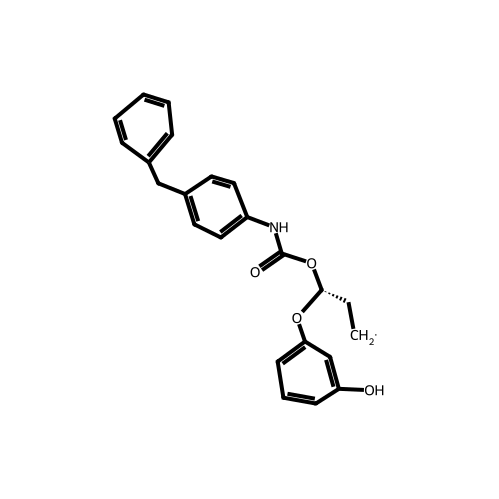 [CH2]C[C@@H](OC(=O)Nc1ccc(Cc2ccccc2)cc1)Oc1cccc(O)c1